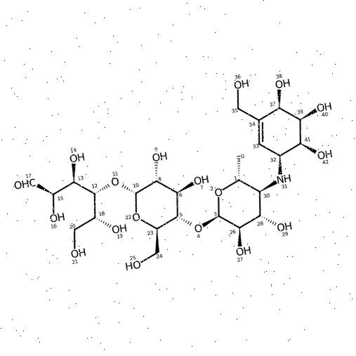 C[C@H]1O[C@H](O[C@H]2[C@H](O)[C@@H](O)[C@@H](O[C@@H]([C@H](O)[C@@H](O)C=O)[C@H](O)CO)O[C@@H]2CO)[C@H](O)[C@@H](O)[C@@H]1N[C@H]1C=C(CO)[C@@H](O)[C@@H](O)[C@H]1O